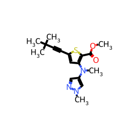 COC(=O)c1sc(C#CC(C)(C)C)cc1N(C)c1cnn(C)c1